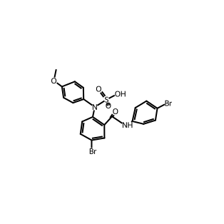 COc1ccc(N(c2ccc(Br)cc2C(=O)Nc2ccc(Br)cc2)S(=O)(=O)O)cc1